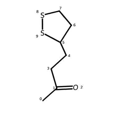 CC(=O)CCC1CCSS1